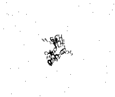 C[C@@H]1CN(c2cc3c(cn2)NC(c2c(F)cccc2F)=Nc2c(Cl)nn(COCC[Si](C)(C)C)c2-3)CCO1